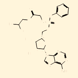 CCC(CC)COC(=O)[C@H](C)N[P@](=O)(OC[C@H]1O[C@@H](n2cnc3c(N)ncnc32)[C@H](O)[C@@H]1O)Oc1ccccc1